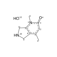 Cc1cc(=O)n(C)c2c1CNC2.Cl